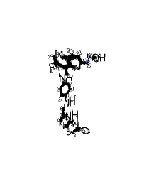 O=C1CSc2ncc(CNC3CCC(NCc4c(F)cnc5ccc(/C=N/O)nc45)CC3)nc2N1